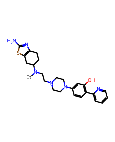 CCN(CCN1CCN(c2ccc(-c3ccccn3)c(O)c2)CC1)C1CCc2nc(N)sc2C1